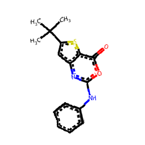 CC(C)(C)c1cc2nc(Nc3ccccc3)oc(=O)c2s1